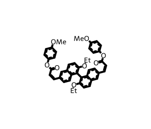 CCOc1ccc2cc(/C=C\C(=O)Oc3ccc(OC)cc3)ccc2c1-c1c(OCC)ccc2cc(/C=C\C(=O)Oc3ccc(OC)cc3)ccc12